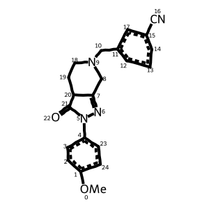 COc1ccc(N2N=C3CN(Cc4cccc(C#N)c4)CCC3C2=O)cc1